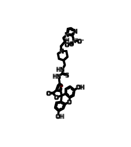 O=C1OC2(c3ccc(O)cc3Oc3cc(O)ccc32)c2ccc(NC(=S)NCC3CCN(CC(O)Cn4ccnc4[N+](=O)[O-])CC3)cc21